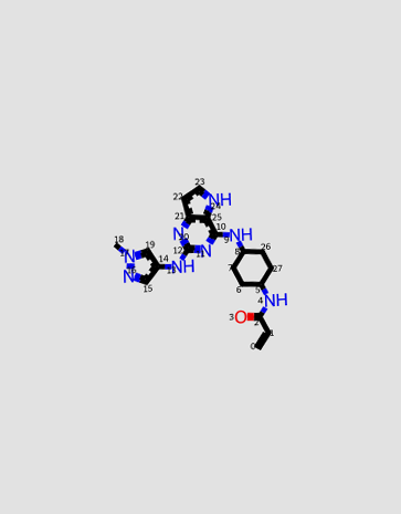 C=CC(=O)NC1CCC(Nc2nc(Nc3cnn(C)c3)nc3cc[nH]c23)CC1